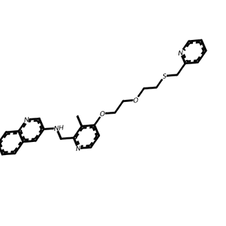 Cc1c(OCCOCCSCc2ccccn2)ccnc1CNc1cnc2ccccc2c1